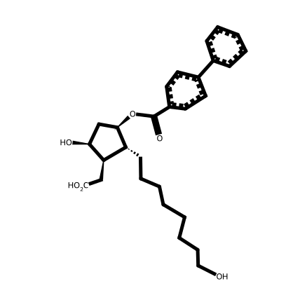 O=C(O)C[C@@H]1[C@@H](CCCCCCCCO)[C@H](OC(=O)c2ccc(-c3ccccc3)cc2)C[C@@H]1O